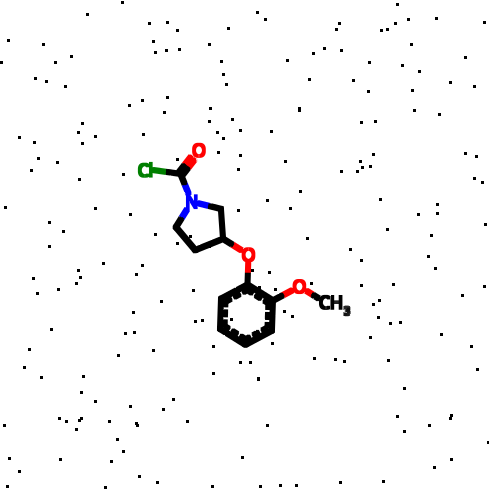 COc1ccccc1OC1CCN(C(=O)Cl)C1